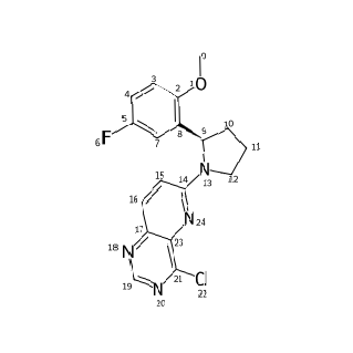 COc1ccc(F)cc1[C@H]1CCCN1c1ccc2ncnc(Cl)c2n1